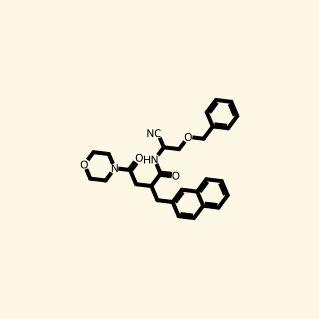 N#CC(COCc1ccccc1)NC(=O)C(CC(=O)N1CCOCC1)Cc1ccc2ccccc2c1